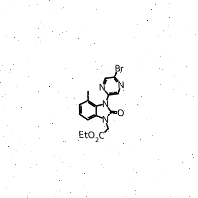 CCOC(=O)Cn1c(=O)n(-c2cnc(Br)cn2)c2c(C)cccc21